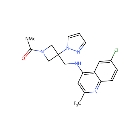 CNC(=O)N1CC(CNc2cc(C(F)(F)F)nc3ccc(Cl)cc23)(n2cccn2)C1